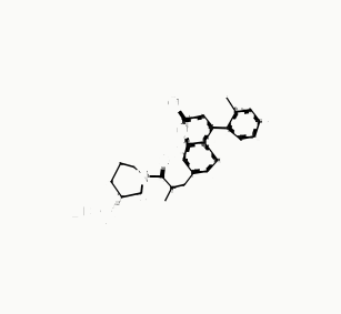 CCOC(=O)[C@H]1CCCN(C(=O)C(C)Cc2ccc3c(-c4ccccc4C)cc(=O)oc3c2)C1